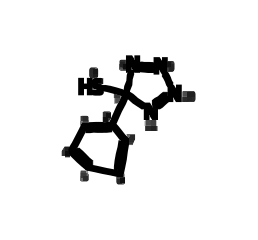 SC1(c2ccccc2)N=NN=N1